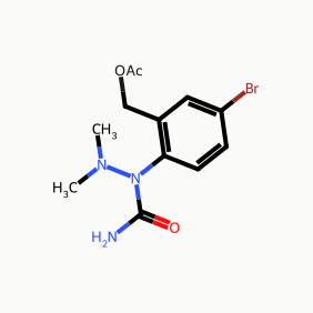 CC(=O)OCc1cc(Br)ccc1N(C(N)=O)N(C)C